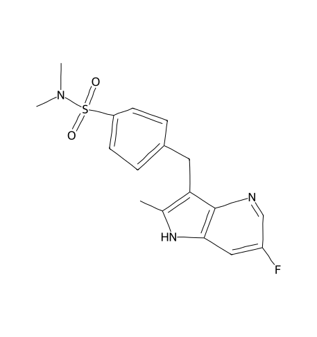 Cc1[nH]c2cc(F)cnc2c1Cc1ccc(S(=O)(=O)N(C)C)cc1